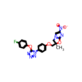 C[C@]1(COc2ccc(-n3nnnc3Oc3ccc(F)cc3)cc2)Cn2cc([N+](=O)[O-])nc2O1